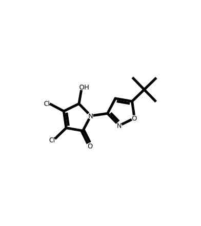 CC(C)(C)c1cc(N2C(=O)C(Cl)=C(Cl)C2O)no1